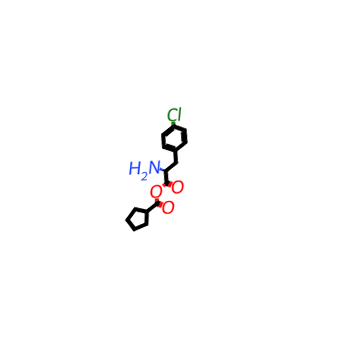 N[C@@H](Cc1ccc(Cl)cc1)C(=O)OC(=O)C1CCCC1